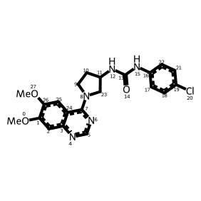 COc1cc2ncnc(N3CCC(NC(=O)Nc4ccc(Cl)cc4)C3)c2cc1OC